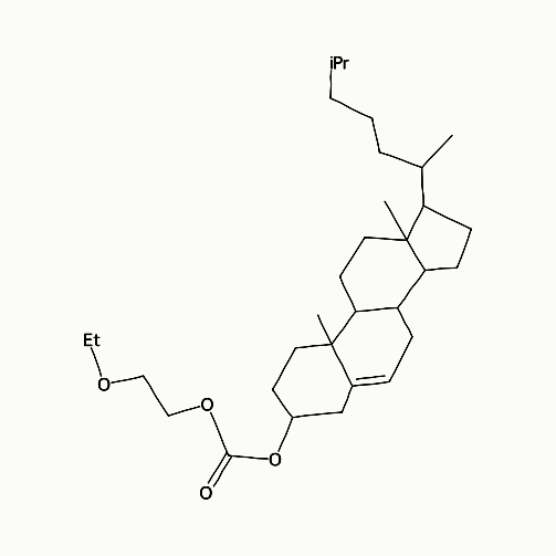 CCOCCOC(=O)OC1CCC2(C)C(=CCC3C2CCC2(C)C(C(C)CCCC(C)C)CCC32)C1